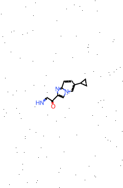 N=CC(=O)c1cn2cc(C3CC3)ccc2n1